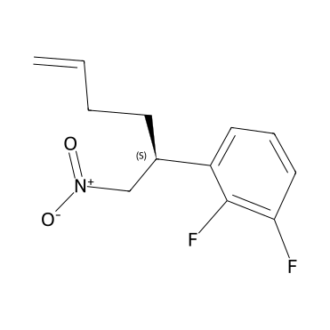 C=CCC[C@H](C[N+](=O)[O-])c1cccc(F)c1F